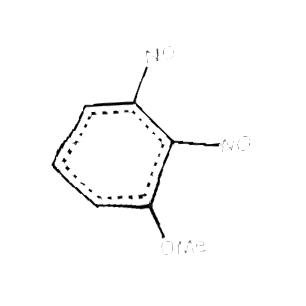 COc1cccc(N=O)c1N=O